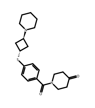 O=C1CCN(C(=O)c2ccc(S[C@H]3C[C@H](N4CCCCC4)C3)cc2)CC1